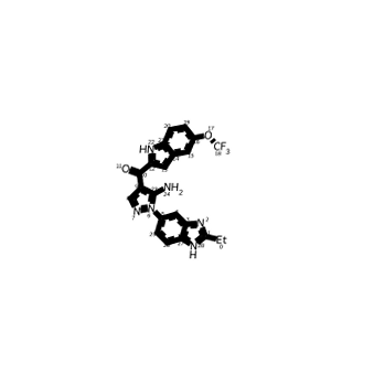 CCc1nc2cc(-n3ncc(C(=O)c4cc5cc(OC(F)(F)F)ccc5[nH]4)c3N)ccc2[nH]1